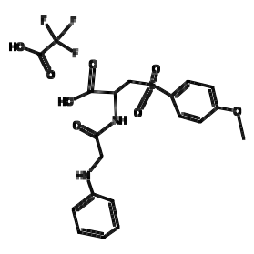 COc1ccc(S(=O)(=O)CC(NC(=O)CNc2ccccc2)C(=O)O)cc1.O=C(O)C(F)(F)F